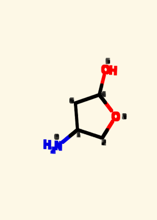 NC1COC(O)C1